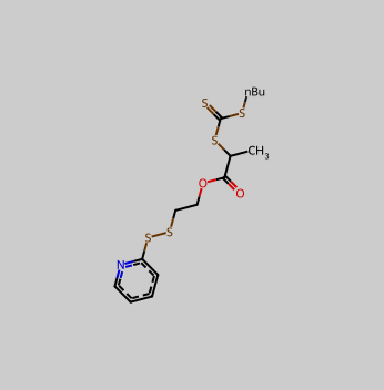 CCCCSC(=S)SC(C)C(=O)OCCSSc1ccccn1